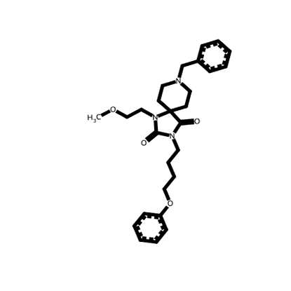 COCCN1C(=O)N(CCCCOc2ccccc2)C(=O)C12CCN(Cc1ccccc1)CC2